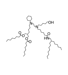 CCCCCCCCC(CCCCCC)CNC(=O)CCCCCN(CCCCCO)CCN(CCCCC(COC(=O)CCCCCCC)COC(=O)CCCCCCC)C1CCCCC1